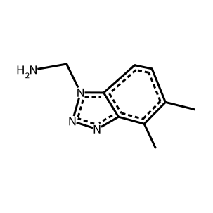 Cc1ccc2c(nnn2CN)c1C